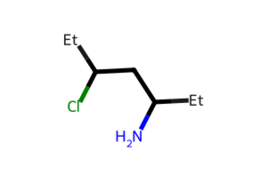 [CH2]CC(N)CC(Cl)CC